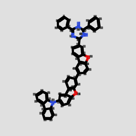 c1ccc(C2=NC(c3ccc4c(c3)oc3ccc(-c5ccc6c(c5)oc5ccc(-n7c8ccccc8c8ccccc87)cc56)cc34)NC(c3ccccc3)N2)cc1